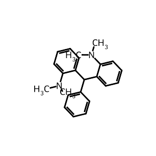 CN(C)c1ccccc1C(c1ccccc1)c1ccccc1N(C)C